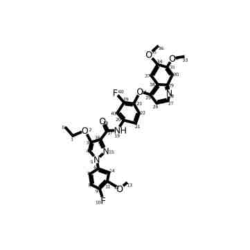 CCOc1cn(-c2ccc(F)c(OC)c2)nc1C(=O)Nc1ccc(Oc2ccnc3cc(OC)c(OC)cc23)c(F)c1